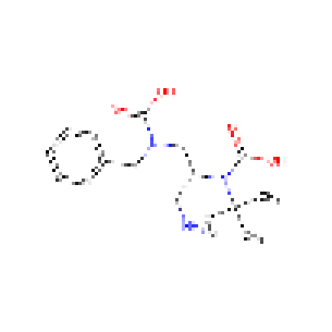 CC(C)(C)N(C(=O)O)[C@H](CN)CN(Cc1ccccc1)C(=O)O